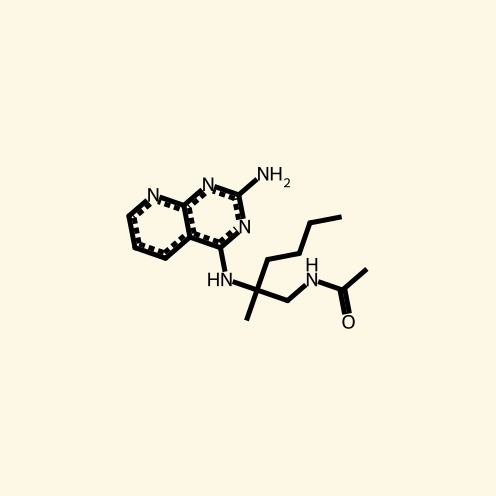 CCCCC(C)(CNC(C)=O)Nc1nc(N)nc2ncccc12